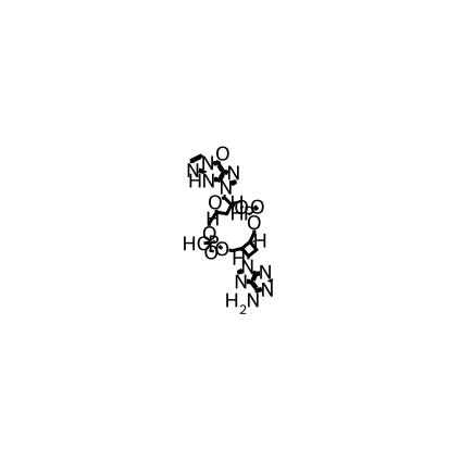 Nc1ncnc2c1ncn2[C@@H]1C[C@@H]2CO[PH](=O)O[C@@H]3C[C@@H](COP(=O)(O)OC[C@H]21)O[C@H]3n1cnc2c(=O)n3ccnc3[nH]c21